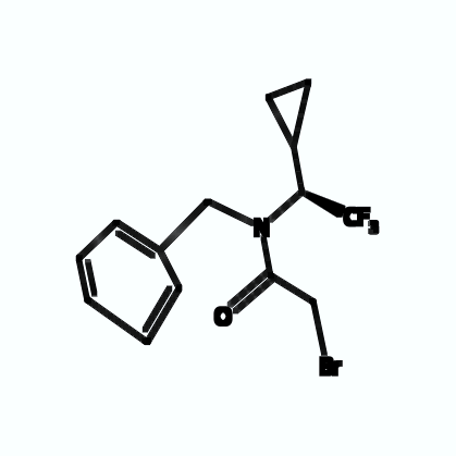 O=C(CBr)N(Cc1ccccc1)[C@@H](C1CC1)C(F)(F)F